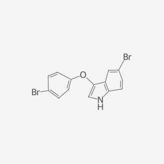 Brc1ccc(Oc2c[nH]c3ccc(Br)cc23)cc1